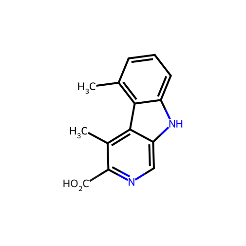 Cc1cccc2[nH]c3cnc(C(=O)O)c(C)c3c12